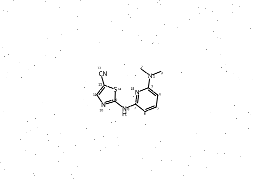 CN(C)c1cccc(Nc2ncc(C#N)s2)n1